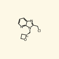 ClCc1nc2cccnc2n1C[C@@H]1CCO1